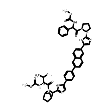 COC(=O)NC(C(=O)N1CCC[C@H]1c1ncc(-c2ccc3cc(-c4ccc(-c5cnc(C6C7CCC(C7)N6C(=O)[C@@H](NC(=O)OC)C(C)C)[nH]5)cc4)ccc3c2)[nH]1)c1ccccc1